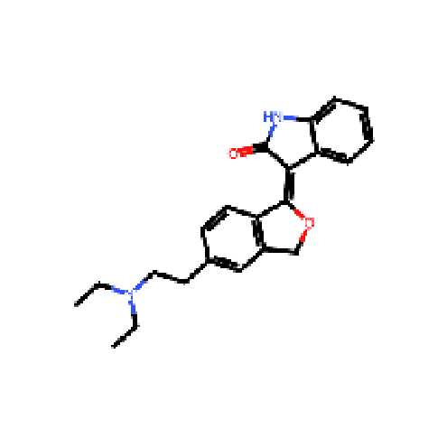 CCN(CC)CCc1ccc2c(c1)COC2=C1C(=O)Nc2ccccc21